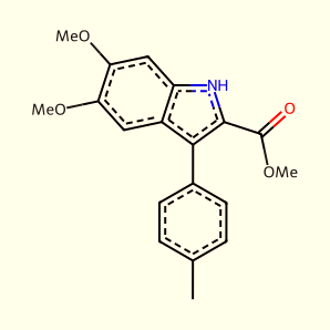 COC(=O)c1[nH]c2cc(OC)c(OC)cc2c1-c1ccc(C)cc1